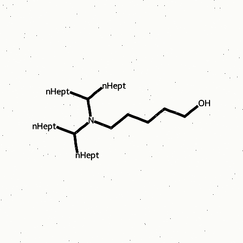 CCCCCCCC(CCCCCCC)N(CCCCCO)C(CCCCCCC)CCCCCCC